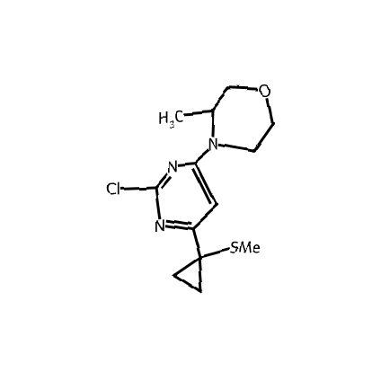 CSC1(c2cc(N3CCOCC3C)nc(Cl)n2)CC1